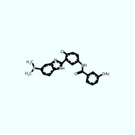 CC(=O)Oc1cccc(C(=O)Nc2ccc(Cl)c(-c3nc4cc(N(C)C)ccc4[nH]3)c2)c1